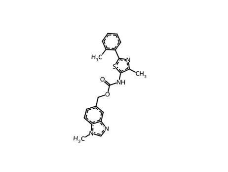 Cc1ccccc1-c1nc(C)c(NC(=O)OCc2ccc3c(c2)ncn3C)s1